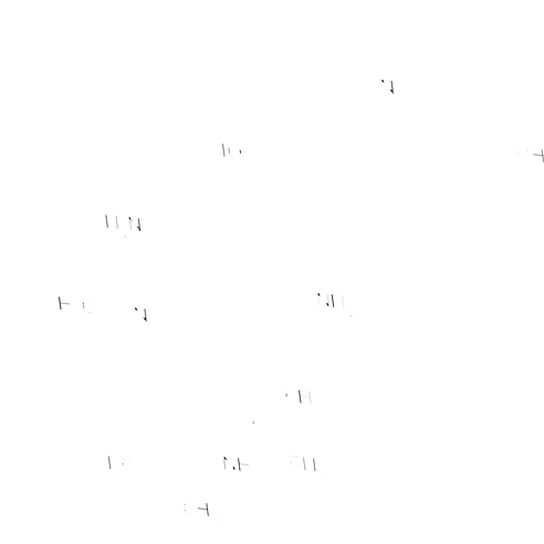 CN(/C(N)=C/C=C(\N)c1cc2cc(O)cnc2cc1O)C1CC(C)(C)NC(C)(C)C1